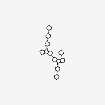 c1ccc(-c2ccc(-c3ccc(-n4c5ccccc5c5cc(-c6ccc7c(c6)c6c(-c8ccccc8)cccc6n7-c6ccc(-c7ccccc7)cc6)ccc54)cc3)cc2)cc1